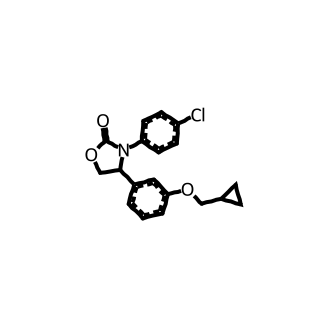 O=C1OCC(c2cccc(OCC3CC3)c2)N1c1ccc(Cl)cc1